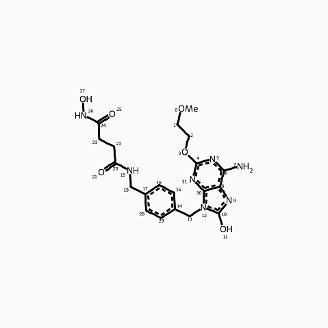 COCCOc1nc(N)c2nc(O)n(Cc3ccc(CNC(=O)CCC(=O)NO)cc3)c2n1